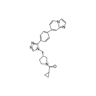 O=C(C1CC1)N1CC[C@@H](Cn2cnnc2-c2ccc(-c3ccn4ccnc4c3)cc2)C1